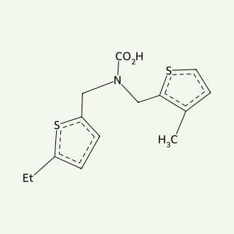 CCc1ccc(CN(Cc2sccc2C)C(=O)O)s1